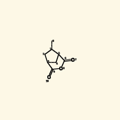 CC1CC2CC1C(=O)OC2=O